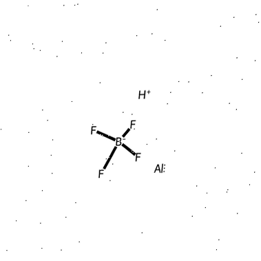 F[B-](F)(F)F.[Al].[H+]